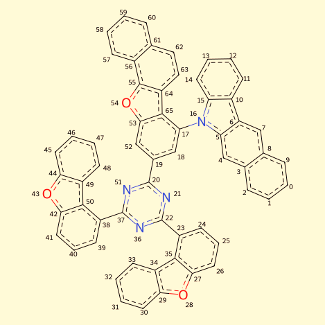 c1ccc2cc3c(cc2c1)c1ccccc1n3-c1cc(-c2nc(-c3cccc4oc5ccccc5c34)nc(-c3cccc4oc5ccccc5c34)n2)cc2oc3c4ccccc4ccc3c12